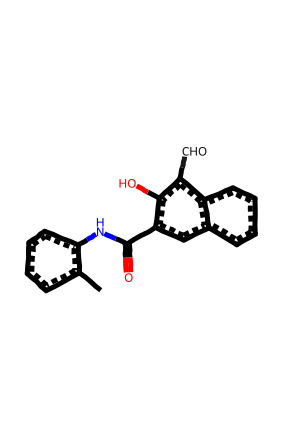 Cc1ccccc1NC(=O)c1cc2ccccc2c(C=O)c1O